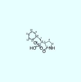 O=C1NCCC1[C@H](Cc1ccccc1)S(=O)(=O)O